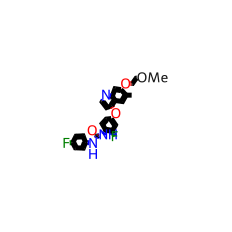 COCCOc1cc2nccc(Oc3ccc(NC(=O)Nc4ccc(F)cc4)c(F)c3)c2cc1C